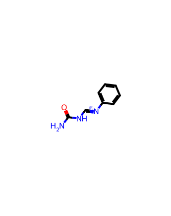 NC(=O)N/C=N/c1ccccc1